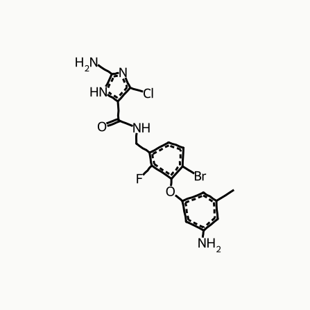 Cc1cc(N)cc(Oc2c(Br)ccc(CNC(=O)c3[nH]c(N)nc3Cl)c2F)c1